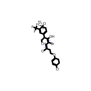 CCC(C1=CC[C@@](C)(Cl)C(C(F)(F)F)=C1)/C(O)=C(Br)\C=C(\Cl)CCOC1=CC=C(Cl)CC1